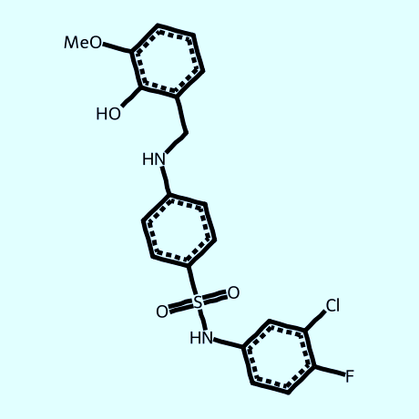 COc1cccc(CNc2ccc(S(=O)(=O)Nc3ccc(F)c(Cl)c3)cc2)c1O